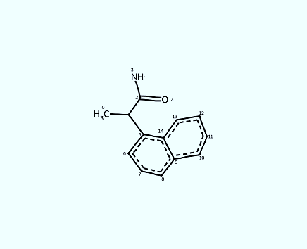 CC(C([NH])=O)c1cccc2ccccc12